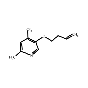 C=CCCOc1cnc(C)cc1C(F)(F)F